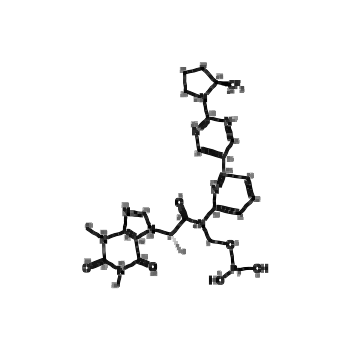 C[C@@H](C(=O)N(COP(O)O)c1cccc(-c2cnc(N3CCC[C@H]3C(F)(F)F)nc2)n1)n1cnc2c1c(=O)n(C)c(=O)n2C